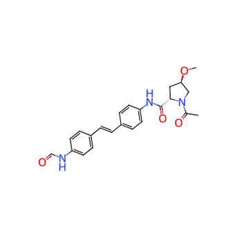 CO[C@@H]1C[C@@H](C(=O)Nc2ccc(/C=C/c3ccc(NC=O)cc3)cc2)N(C(C)=O)C1